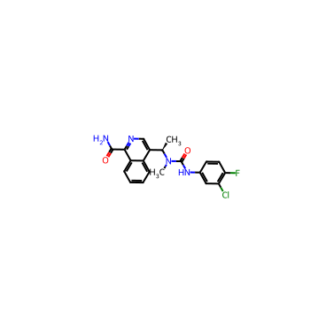 C[C@H](c1cnc(C(N)=O)c2ccccc12)N(C)C(=O)Nc1ccc(F)c(Cl)c1